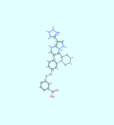 O=C(O)c1cccc(COc2ccc(-c3cnc4c(-c5nnn[nH]5)cnn4c3C3CCCCC3)cc2)c1